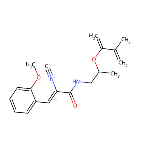 [C-]#[N+]/C(=C\c1ccccc1OC)C(=O)NCC(C)OC(=C)C(=C)C